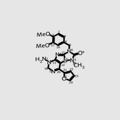 COc1ccc(Cn2c(=O)n(C)n3c4c(nc23)N(N)CN=C4c2ccco2)cc1OC